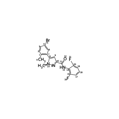 Cc1ccc(Br)cc1-c1cc(C(=O)Nc2c(F)cccc2F)nn1C